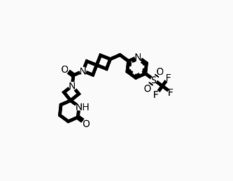 O=C1CCCC2(CN(C(=O)N3CC4(CC(Cc5ccc(S(=O)(=O)C(F)(F)F)cn5)C4)C3)C2)N1